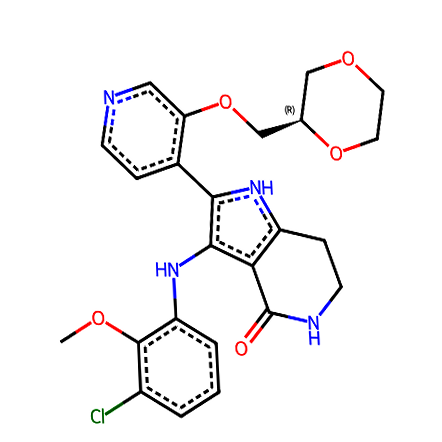 COc1c(Cl)cccc1Nc1c(-c2ccncc2OC[C@H]2COCCO2)[nH]c2c1C(=O)NCC2